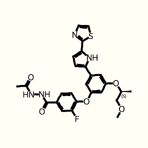 COC[C@H](C)Oc1cc(Oc2ccc(C(=O)NNC(C)=O)cc2F)cc(-c2ccc(-c3nccs3)[nH]2)c1